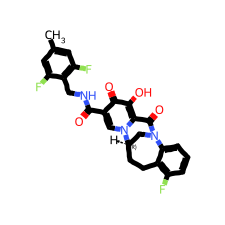 Cc1cc(F)c(CNC(=O)c2cn3c(c(O)c2=O)C(=O)N2C[C@H]3CCc3c(F)cccc32)c(F)c1